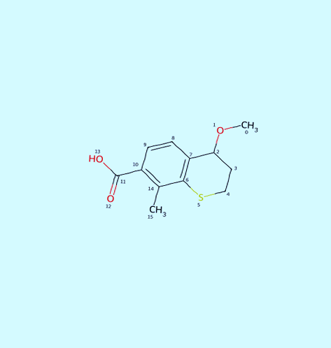 COC1CCSc2c1ccc(C(=O)O)c2C